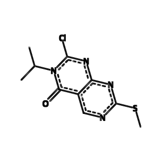 CSc1ncc2c(=O)n(C(C)C)c(Cl)nc2n1